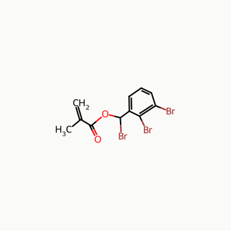 C=C(C)C(=O)OC(Br)c1cccc(Br)c1Br